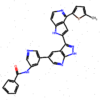 Cc1ccc(-c2nccc3[nH]c(-c4n[nH]c5ncc(-c6cncc(NC(=O)c7ccccc7)c6)cc45)cc23)s1